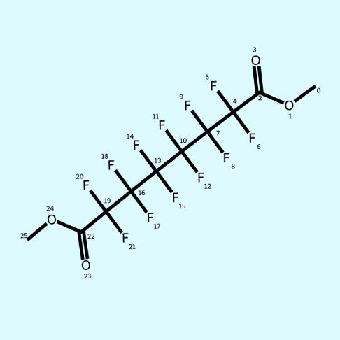 COC(=O)C(F)(F)C(F)(F)C(F)(F)C(F)(F)C(F)(F)C(F)(F)C(=O)OC